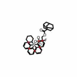 O=C(OCC(F)(F)S(=O)(=O)OS(c1ccccc1)(c1ccccc1)(c1ccccc1)(c1ccccc1)C1CCCCC1)C12CC3CC(CC(C3)C1)C2